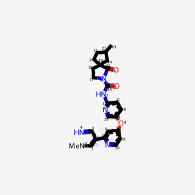 CN/C=C(\C=N)c1cc(Oc2ccc(NC(=O)N3CCC4(CCC(C)C4)C3=O)nc2)ccn1